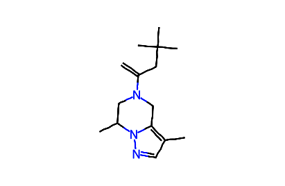 C=C(CC(C)(C)C)N1Cc2c(C)cnn2C(C)C1